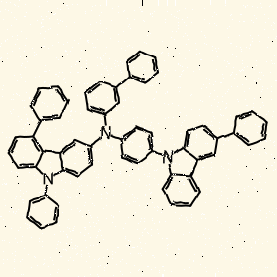 c1ccc(-c2cccc(N(c3ccc(-n4c5ccccc5c5cc(-c6ccccc6)ccc54)cc3)c3ccc4c(c3)c3c(-c5ccccc5)cccc3n4-c3ccccc3)c2)cc1